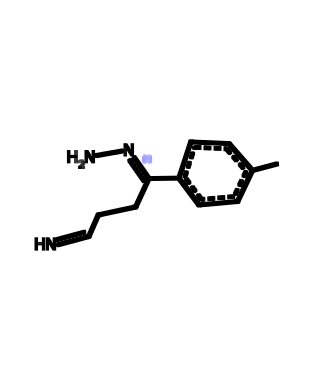 Cc1ccc(/C(CCC=N)=N/N)cc1